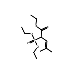 CCOC(=O)C(C=C(C)C)P(=O)(OCC)OCC